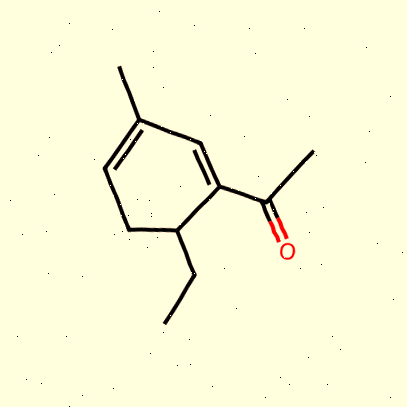 CCC1CC=C(C)C=C1C(C)=O